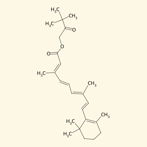 CC(C=CC1=C(C)CCCC1(C)C)=CC=CC(C)=CC(=O)OCC(=O)C(C)(C)C